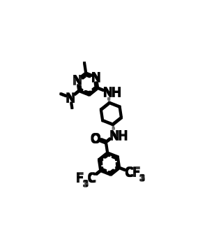 Cc1nc(N[C@H]2CC[C@@H](NC(=O)c3cc(C(F)(F)F)cc(C(F)(F)F)c3)CC2)cc(N(C)C)n1